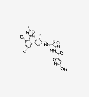 Cc1nc(-c2c(Cl)cc(Cl)cc2-c2ccc(CNc3nonc3NC(=O)c3cc(O)no3)c(F)c2)no1